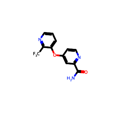 NC(=O)c1cc(Oc2cccnc2C(F)(F)F)ccn1